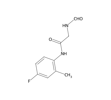 Cc1cc(F)ccc1NC(=O)CNC=O